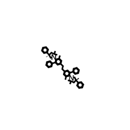 Cc1cc(CCc2cc(C)c(N3C[C@@](C)(c4ccccc4)CC3(C)C)c(-c3ccccc3)c2)cc(-c2ccccc2)c1N1C[C@](C)(c2ccccc2)CC1(C)C